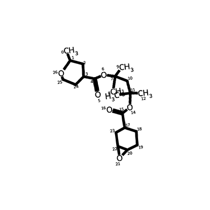 CC1CC(C(=O)OC(C)(C)CC(C)(C)OC(=O)C2CCC3OC3C2)CCO1